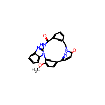 COc1ccc2cc1-n1c(nc3ccccc31)NC(=O)c1cccc(c1)Cn1nc-2ccc1=O